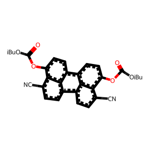 CC(C)COC(=O)Oc1ccc2c3ccc(OC(=O)OCC(C)C)c4c(C#N)ccc(c5ccc(C#N)c1c52)c43